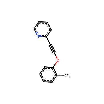 FC(F)(F)c1ccccc1OC#Cc1ccccn1